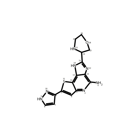 Nc1nc2cc(-c3cc[nH]n3)sc2c2[nH]c(C3COCCN3)nc12